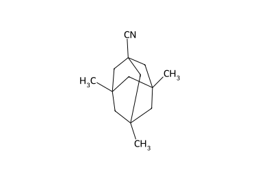 CC12CC3(C)CC(C)(C1)CC(C#N)(C2)C3